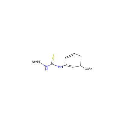 COC1C=C(NC(=S)NNC(C)=O)C=CC1